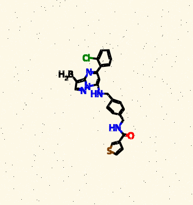 Bc1cnn2c(NCc3ccc(CNC(=O)c4ccsc4)cc3)cc(-c3ccccc3Cl)nc12